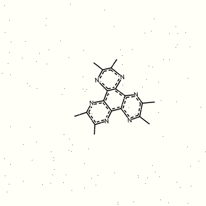 Cc1nc2c3nc(C)c(C)nc3c3nc(C)c(C)nc3c2nc1C